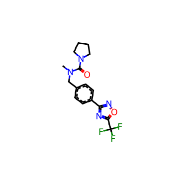 CN(Cc1ccc(-c2noc(C(F)(F)F)n2)cc1)C(=O)N1CCCC1